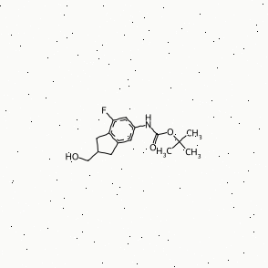 CC(C)(C)OC(=O)Nc1cc(F)c2c(c1)CC(CO)C2